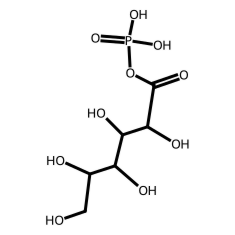 O=C(OP(=O)(O)O)C(O)C(O)C(O)C(O)CO